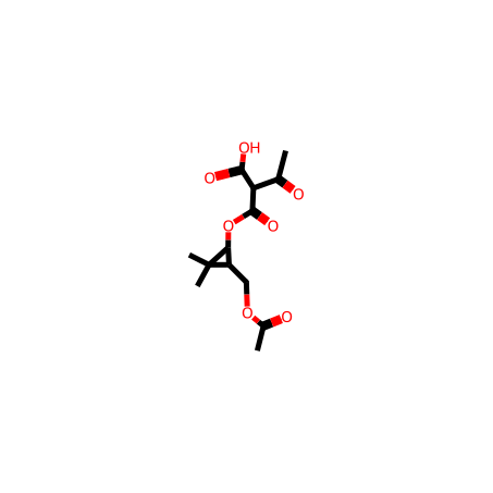 CC(=O)OCC1C(OC(=O)C(C(C)=O)C(=O)O)C1(C)C